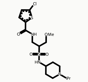 COCC(CNC(=O)c1ccc(Cl)s1)S(=O)(=O)NC1CCN(C(C)C)CC1